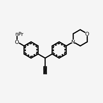 C#CC(c1ccc(OCCC)cc1)c1ccc(N2CCOCC2)cc1